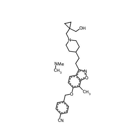 CNC.Cc1c(OCc2ccc(C#N)cc2)ccc2c(CCC3CCN(CC4(CO)CC4)CC3)noc12